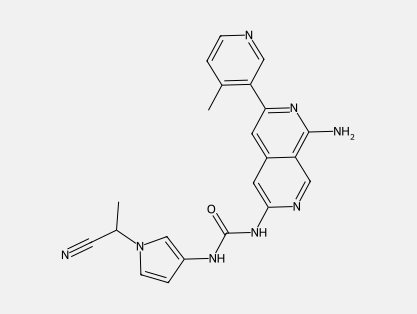 Cc1ccncc1-c1cc2cc(NC(=O)Nc3ccn(C(C)C#N)c3)ncc2c(N)n1